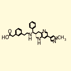 Cn1cc(-c2cnc3c(c2)NC[C@H]([C@H](NCCc2cccc(CC(=O)O)c2)c2ccccc2)C3)cn1